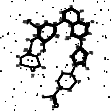 CC(=O)N1CCC(n2cc(-c3cnc4cccc(-c5cc(F)c(CN6CCOCC6)c(F)c5)c4n3)cn2)CC1